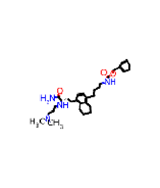 CN(C)CCCN[C@@H](CCc1ccc(CCCCNC(=O)OCc2ccccc2)c2c1CCCC2)C(N)=O